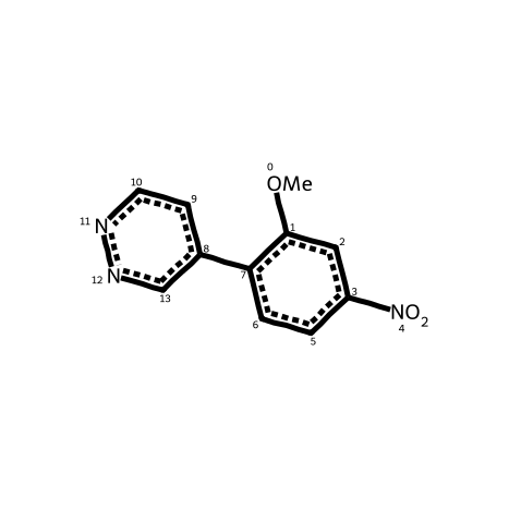 COc1cc([N+](=O)[O-])ccc1-c1ccnnc1